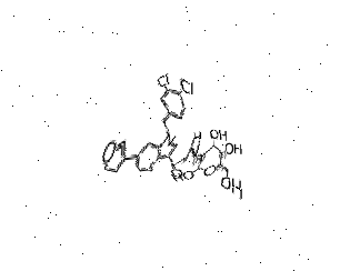 O=C(N[C@H]1C(O)O[C@H](CO)[C@@H](O)C1O)c1cn(Cc2ccc(Cl)c(Cl)c2)c2cc(-c3ccoc3)ccc12